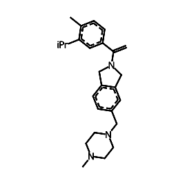 C=C(c1ccc(C)c(C(C)C)c1)N1Cc2ccc(CN3CCN(C)CC3)cc2C1